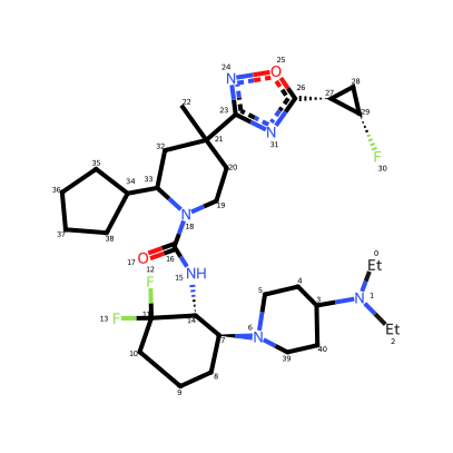 CCN(CC)C1CCN([C@H]2CCCC(F)(F)[C@@H]2NC(=O)N2CCC(C)(c3noc([C@@H]4C[C@@H]4F)n3)CC2C2CCCC2)CC1